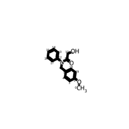 COc1ccc(CN(C(=O)CO)c2ccccc2)cc1